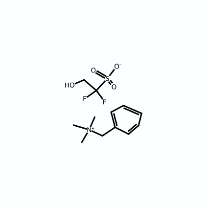 C[N+](C)(C)Cc1ccccc1.O=S(=O)([O-])C(F)(F)CO